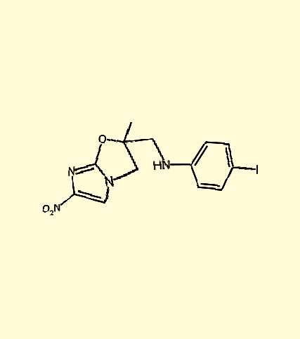 CC1(CNc2ccc(I)cc2)Cn2cc([N+](=O)[O-])nc2O1